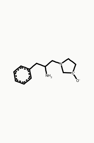 NC(Cc1ccccc1)CN1CC[S+]([O-])C1